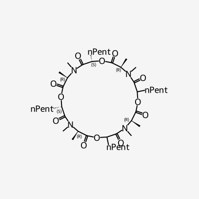 CCCCCC1OC(=O)[C@@H](C)N(C)C(=O)C(CCCCC)OC(=O)[C@@H](C)N(C)C(=O)[C@H](CCCCC)OC(=O)[C@@H](C)N(C)C(=O)[C@H](CCCCC)OC(=O)[C@@H](C)N(C)C1=O